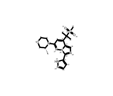 C[C@@H]1COCCN1c1cc(C(C)(C)S(C)(=O)=O)c2cnc(-c3ccn[nH]3)n2n1